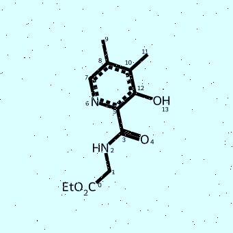 CCOC(=O)CNC(=O)c1ncc(C)c(C)c1O